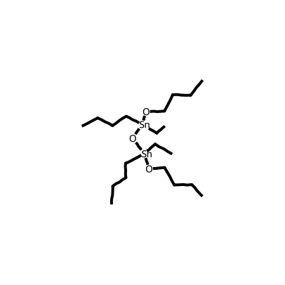 CCCC[O][Sn]([CH2]C)([CH2]CCC)[O][Sn]([CH2]C)([CH2]CCC)[O]CCCC